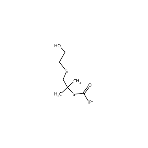 CC(C)C(=O)SC(C)(C)CSCCO